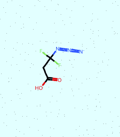 [N-]=[N+]=NC(F)(F)CC(=O)O